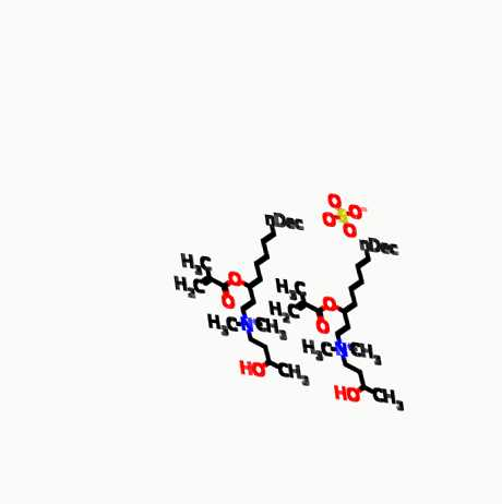 C=C(C)C(=O)OC(CCCCCCCCCCCCCCC)CC[N+](C)(C)CCC(C)O.C=C(C)C(=O)OC(CCCCCCCCCCCCCCC)CC[N+](C)(C)CCC(C)O.O=S(=O)([O-])[O-]